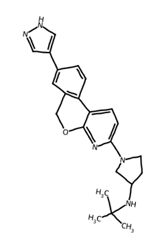 CC(C)(C)NC1CCN(c2ccc3c(n2)OCc2cc(-c4cn[nH]c4)ccc2-3)C1